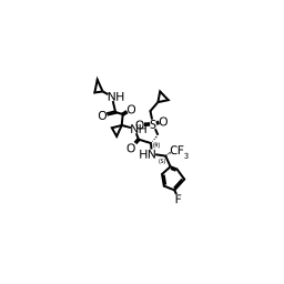 O=C(NC1CC1)C(=O)C1(NC(=O)[C@H](CS(=O)(=O)CC2CC2)N[C@@H](c2ccc(F)cc2)C(F)(F)F)CC1